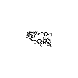 COc1ccc(Cl)cc1Cn1c(-c2ccc(OCC[C@@H](C)C(=O)N3C(=O)OC[C@H]3C(C)C)cc2Cl)nc2c(OC3(C)CC3)ncnc21